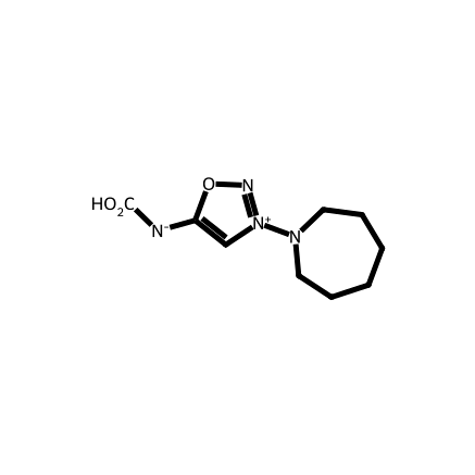 O=C(O)[N-]c1c[n+](N2CCCCCC2)no1